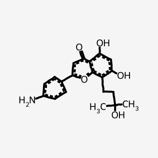 CC(C)(O)CCc1c(O)cc(O)c2c(=O)cc(-c3ccc(N)cc3)oc12